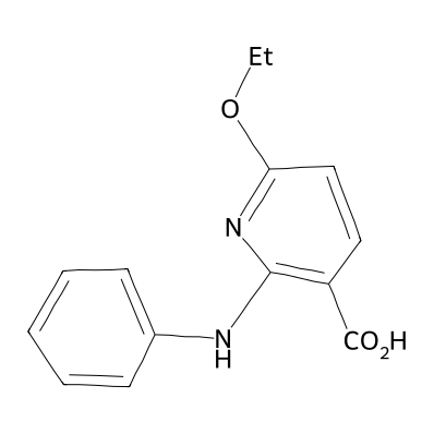 CCOc1ccc(C(=O)O)c(Nc2ccccc2)n1